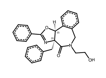 O=C1N(CCO)Cc2ccccc2[C@@H]2OC(c3ccccc3)=N[C@]12Cc1ccccc1